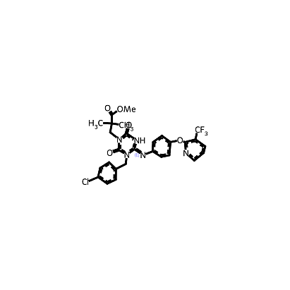 COC(=O)C(C)(C)Cn1c(=O)[nH]/c(=N\c2ccc(Oc3ncccc3C(F)(F)F)cc2)n(Cc2ccc(Cl)cc2)c1=O